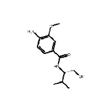 COc1cc(C(=O)N[C@H](CO)C(C)C)ccc1N